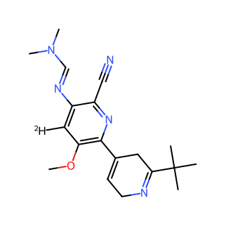 [2H]c1c(/N=C/N(C)C)c(C#N)nc(C2=CCN=C(C(C)(C)C)C2)c1OC